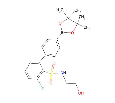 CC1(C)OB(c2ccc(-c3cccc(F)c3S(=O)(=O)NCCO)cc2)OC1(C)C